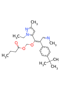 CCCC(=O)OCO/C(=C(/C=N\C)c1ccc(C(C)(C)C)cc1)c1cc(C)nn1CC